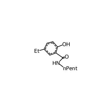 CCCCCNC(=O)c1cc(CC)ccc1O